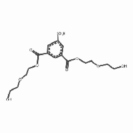 O=C(OCCOCCO)c1cc(C(=O)OCCOCCO)cc(S(=O)(=O)O)c1